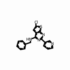 Clc1cc2c(NCc3ccccc3)nc(-c3cccnc3)nc2s1